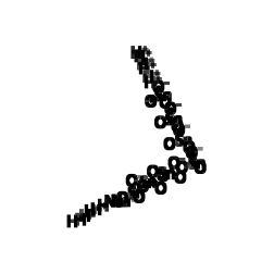 [H+].[H+].[H+].[H+].[H+].[H+].[H+].[H+].[H+].[H+].[H+].[H+].[Na+].[Na+].[O]=[Sn]([O-])[O-].[O]=[Sn]([O-])[O-].[O]=[Sn]([O-])[O-].[O]=[Sn]([O-])[O-].[O]=[Sn]([O-])[O-].[O]=[Sn]([O-])[O-].[O]=[Sn]([O-])[O-]